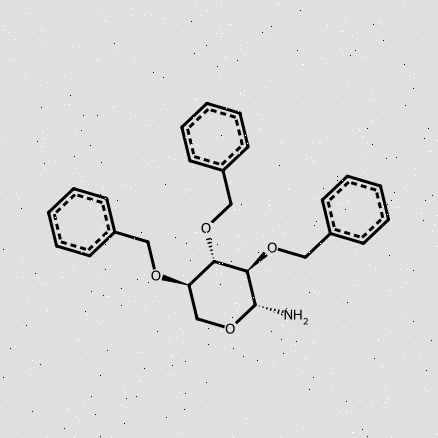 N[C@@H]1OC[C@@H](OCc2ccccc2)[C@H](OCc2ccccc2)[C@H]1OCc1ccccc1